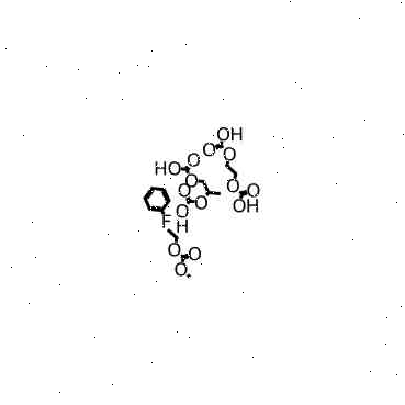 CC(COC(=O)O)OC(=O)O.CCOC(=O)OC.Fc1ccccc1.O=C(O)OCCOC(=O)O